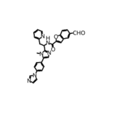 Cn1c(-c2ccc(-n3ccnc3)cc2)cnc1C(Cc1ccccn1)NC(=O)c1cc2cc(C=O)ccc2o1